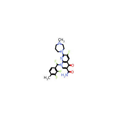 Cc1ccc(C(F)n2cc(C(N)=O)c(=O)c3cc(F)c(N4CCCN(C)CC4)nc32)c(F)c1F